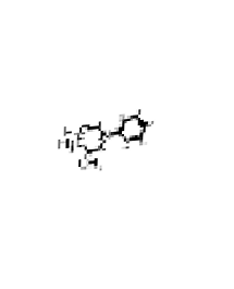 CCN(CC(C)C)c1ccccc1